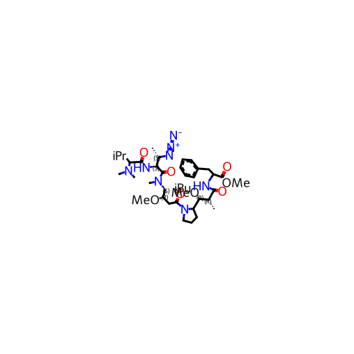 CC[C@H](C)[C@@H]([C@@H](CC(=O)N1CCCC1[C@H](OC)[C@@H](C)C(=O)NC(Cc1ccccc1)C(=O)OC)OC)N(C)C(=O)[C@@H](NC(=O)C(C(C)C)N(C)C)[C@H](C)N=[N+]=[N-]